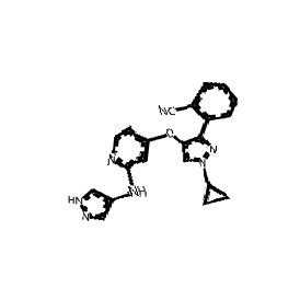 N#Cc1ccccc1-c1nn(C2CC2)cc1Oc1ccnc(Nc2cn[nH]c2)c1